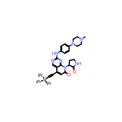 CC(C)[Si](C#Cc1cc(=O)n(C2CCNC2=O)c2nc(Nc3ccc(N4CCN(C)CC4)cc3)ncc12)(C(C)C)C(C)C